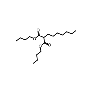 CCCCCCCC(C(=O)OCCCC)C(=O)OCCCC